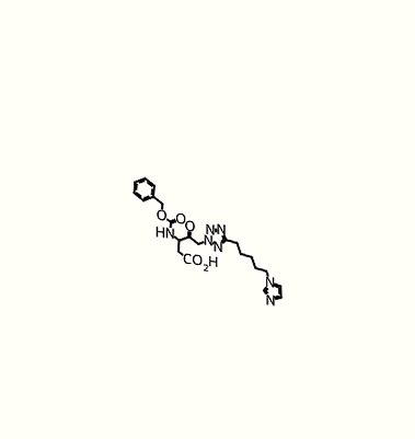 O=C(O)CC(NC(=O)OCc1ccccc1)C(=O)Cn1nnc(CCCCCn2ccnc2)n1